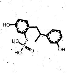 CC(Cc1ccc(O)cc1SP(=O)(O)O)c1cccc(O)c1